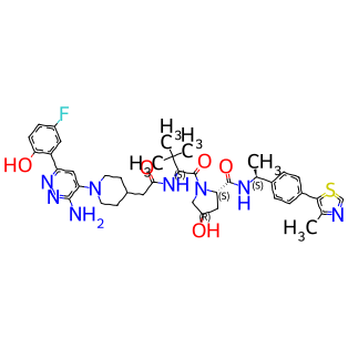 Cc1ncsc1-c1ccc([C@H](C)NC(=O)[C@@H]2C[C@@H](O)CN2C(=O)[C@@H](NC(=O)CC2CCN(c3cc(-c4cc(F)ccc4O)nnc3N)CC2)C(C)(C)C)cc1